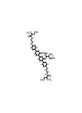 C=C(CO)C(=O)OCCOc1ccc(-c2ccc(-c3ccc(-c4ccc(OCCOC(=O)C(=C)CO)cc4)c(OC(=O)C(=C)CO)c3)c(CCCCCC)c2)cc1